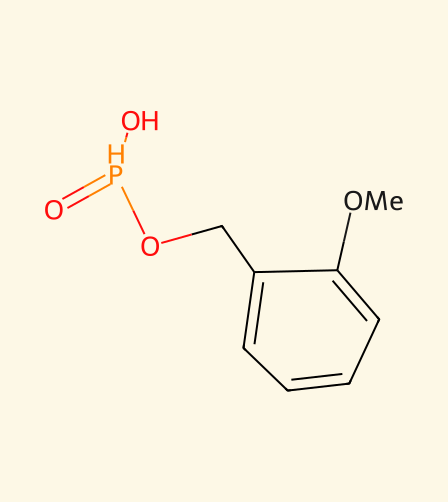 COc1ccccc1CO[PH](=O)O